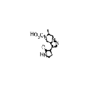 C[C@H]1Cn2ncc(C3CCNC3=O)c2CN1C(=O)O